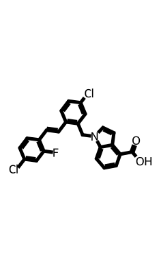 O=C(O)c1cccc2c1ccn2Cc1cc(Cl)ccc1C=Cc1ccc(Cl)cc1F